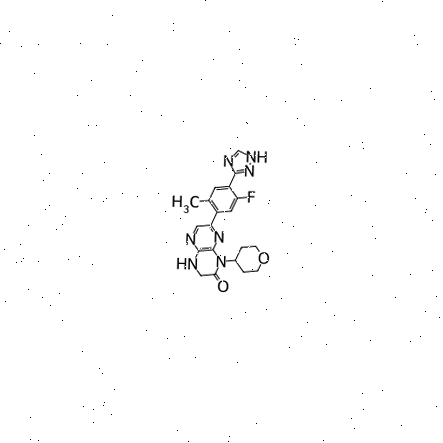 Cc1cc(-c2nc[nH]n2)c(F)cc1-c1cnc2c(n1)N(C1CCOCC1)C(=O)CN2